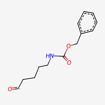 O=[C]CCCCNC(=O)OCc1ccccc1